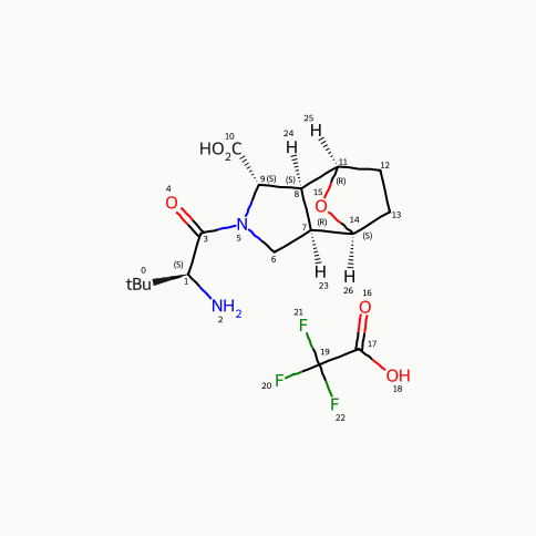 CC(C)(C)[C@H](N)C(=O)N1C[C@H]2[C@@H]([C@H]1C(=O)O)[C@H]1CC[C@@H]2O1.O=C(O)C(F)(F)F